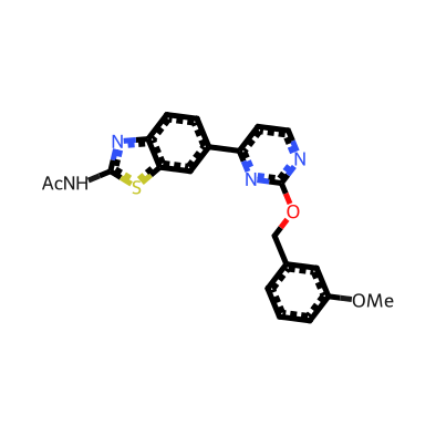 COc1cccc(COc2nccc(-c3ccc4nc(NC(C)=O)sc4c3)n2)c1